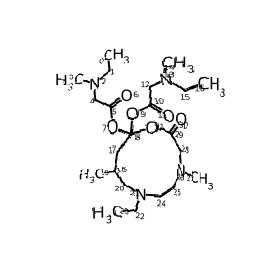 CCN(C)CC(=O)OC1(OC(=O)CN(C)CC)CC(C)CN(CC)CCN(C)CC(=O)O1